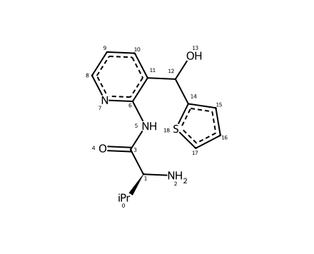 CC(C)[C@H](N)C(=O)Nc1ncccc1C(O)c1cccs1